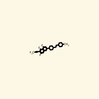 CC1CCC(/C=C/C2CCC(c3cc(F)c4c(F)c(C#CC(F)(F)F)c(F)cc4c3)CC2)CC1